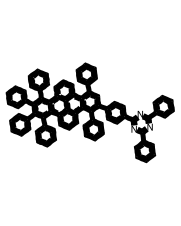 c1ccc(-c2nc(-c3ccccc3)nc(-c3ccc(-c4cc(-c5ccccc5)c5c6cccc7c8c(-c9ccccc9)c(-c9ccccc9)c(-c9ccccc9)c(-c9ccccc9)c8c8cccc(c5c4-c4ccccc4)c8c67)cc3)n2)cc1